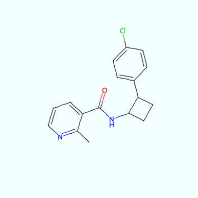 Cc1ncccc1C(=O)NC1CCC1c1ccc(Cl)cc1